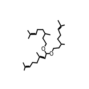 CC(C)=CCC/C(C)=C/C(OCCC(C)CCC=C(C)C)OCCC(C)CCC=C(C)C